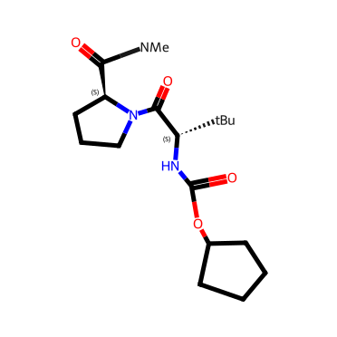 CNC(=O)[C@@H]1CCCN1C(=O)[C@@H](NC(=O)OC1CCCC1)C(C)(C)C